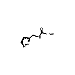 COC(=O)NCc1ccns1